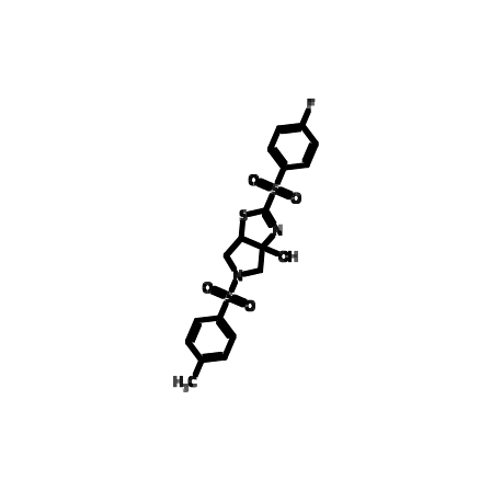 Cc1ccc(S(=O)(=O)N2CC3SC(S(=O)(=O)c4ccc(F)cc4)=NC3(O)C2)cc1